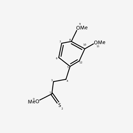 COC(=S)CCc1ccc(OC)c(OC)c1